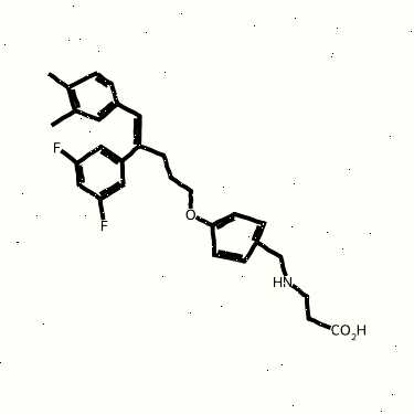 Cc1ccc(C=C(CCCOc2ccc(CNCCC(=O)O)cc2)c2cc(F)cc(F)c2)cc1C